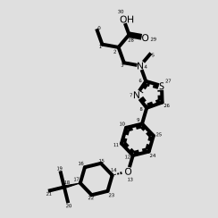 CCC(CN(C)c1nc(-c2ccc(O[C@H]3CC[C@H](C(C)(C)C)CC3)cc2)cs1)C(=O)O